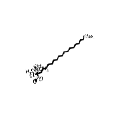 CCCCCCC=CCCCCCCCCCCCCCCCC(CC)(P(=O)=O)[N+](C)(C)C